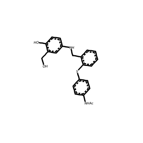 CC(=O)Nc1ccc(Sc2ccccc2CNc2ccc(O)c(CO)c2)cc1